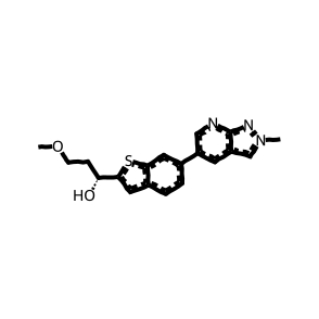 COCC[C@@H](O)c1cc2ccc(-c3cnc4nn(C)cc4c3)cc2s1